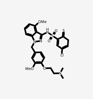 COc1cc(Cn2nc(NS(=O)(=O)C3=CC(Cl)=CCC3=S)c3c(OC)cccc32)ccc1OCCN(C)C